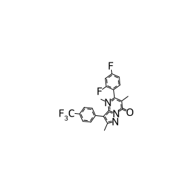 Cc1nn2c(=O)c(C)c(-c3ccc(F)cc3F)n(C)c2c1-c1ccc(C(F)(F)F)cc1